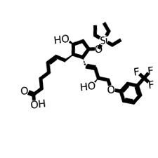 CC[Si](CC)(CC)OC1C[C@H](O)[C@H](C/C=C\CCCC(=O)O)[C@H]1/C=C/[C@@H](O)COc1cccc(C(F)(F)F)c1